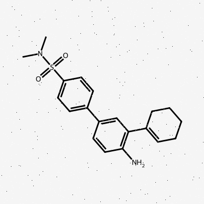 CN(C)S(=O)(=O)c1ccc(-c2ccc(N)c(C3=CCCCC3)c2)cc1